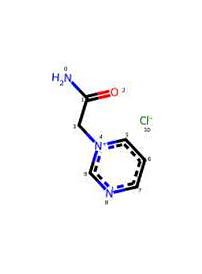 NC(=O)C[n+]1cccnc1.[Cl-]